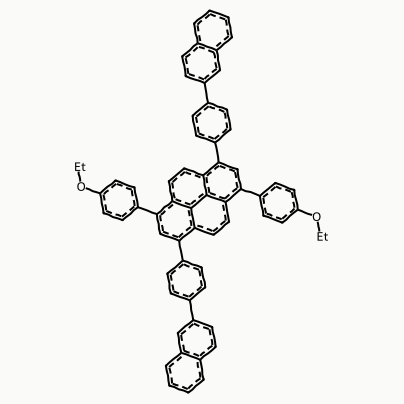 CCOc1ccc(-c2cc(-c3ccc(-c4ccc5ccccc5c4)cc3)c3ccc4c(-c5ccc(OCC)cc5)cc(-c5ccc(-c6ccc7ccccc7c6)cc5)c5ccc2c3c45)cc1